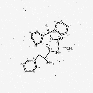 C[C@H](NC(=O)[C@@H](N)Cc1ccccc1)C(=O)OP(=O)(c1ccccc1)c1ccccc1